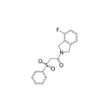 O=C(CS(=O)(=O)c1ccccc1)N1Cc2cccc(F)c2C1